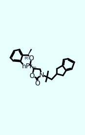 CCCc1ccccc1[C@@H](C)OC[C@H]1CN(C(C)(C)CC2Cc3ccccc3C2)C(=O)O1